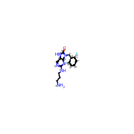 NCCCNc1ncc2[nH]c(=O)n(Cc3c(F)cccc3F)c2n1